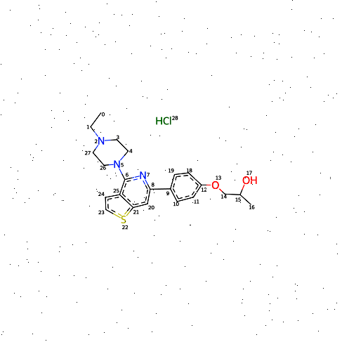 CCN1CCN(c2nc(-c3ccc(OCC(C)O)cc3)cc3sccc23)CC1.Cl